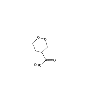 O=CC(=O)C1CCOOC1